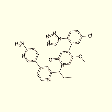 CCC(c1cc(-c2ccc(N)nc2)ccn1)n1cc(OC)c(-c2cc(Cl)ccc2-n2cnnn2)cc1=O